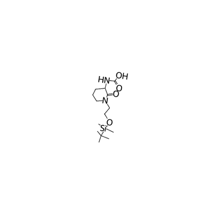 CC(C)(C)[Si](C)(C)OCCN1CCCC(NC(=O)O)C1=O